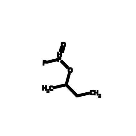 CCC(C)O[PH](=O)F